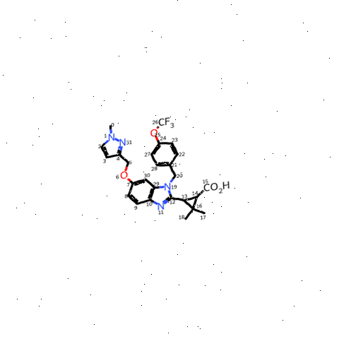 Cn1ccc(COc2ccc3nc(C4C(C(=O)O)C4(C)C)n(Cc4ccc(OC(F)(F)F)cc4)c3c2)n1